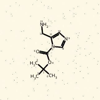 CC(C)(C)OC(=O)n1cncc1CN